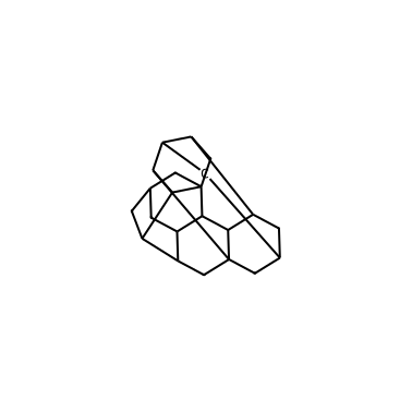 C1C2CC3C4CC56CC7CC8C9CC(C2)(C(C14)C85)C3C6C9C7